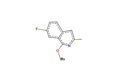 Cc1cc2ccc(F)cc2c(OC(C)(C)C)n1